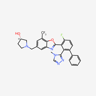 Cn1cnnc1-c1c(-c2ccccc2)ccc(F)c1-c1nc2cc(CN3CC[C@H](O)C3)cc(C(F)(F)F)c2o1